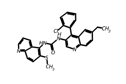 CCc1ccc2ncc(NC(=O)Nc3c(SC)ccc4ncccc34)c(-c3ccccc3Cl)c2c1